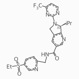 CCS(=O)(=O)c1ccc(CNC(=O)c2cnc3c(c2)CN(c2nccc(C(F)(F)F)n2)[C@H]3C(C)C)nc1